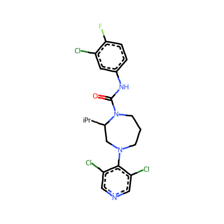 CC(C)C1CN(c2c(Cl)cncc2Cl)CCCN1C(=O)Nc1ccc(F)c(Cl)c1